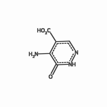 Nc1c(C(=O)O)cn[nH]c1=O